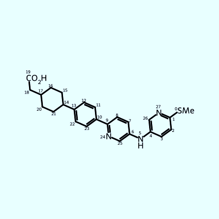 CSc1ccc(Nc2ccc(-c3ccc(C4CCC(CC(=O)O)CC4)cc3)nc2)cn1